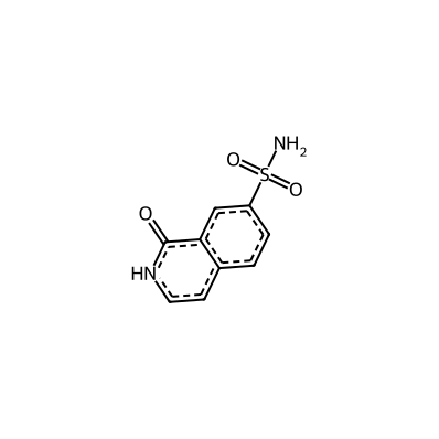 NS(=O)(=O)c1ccc2cc[nH]c(=O)c2c1